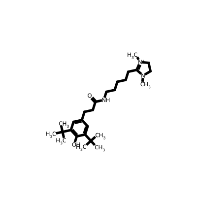 CN1CC[N+](C)=C1CCCCCNC(=O)CCc1cc(C(C)(C)C)c(O)c(C(C)(C)C)c1